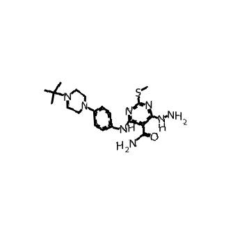 CSc1nc(NN)c(C(N)=O)c(Nc2ccc(N3CCN(C(C)(C)C)CC3)cc2)n1